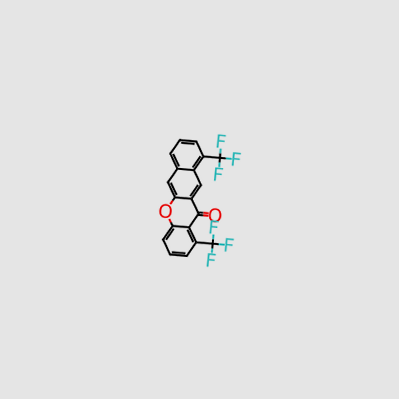 O=c1c2cc3c(C(F)(F)F)cccc3cc2oc2cccc(C(F)(F)F)c12